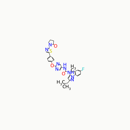 Cc1cc(F)ccc1-n1nc(CC(C)C)cc1NC(=O)Nc1cnc(Oc2ccc(-c3cnc(N4CCCC4=O)s3)cc2)nc1